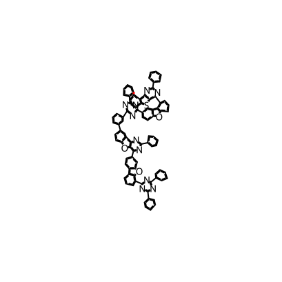 c1ccc(-c2nc(-c3cccc(-c4ccc5oc6c(-c7ccc8c(c7)oc7c(-c9nc(-c%10ccccc%10)nc(-c%10ccccc%10)n9)cccc78)nc(-c7ccccc7)nc6c5c4)c3)nc(-c3ccc4oc5cccc(-c6nc(-c7ccccc7)nc7c6sc6ccccc67)c5c4c3)n2)cc1